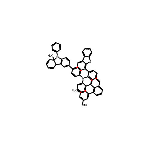 CC(C)(C)c1cc(-c2cccc3cccc(-c4ccccc4N(c4ccc(-c5ccc6c(c5)C5C=CC=CC5(C)N6c5ccccc5)cc4)c4ccccc4-c4cccc5c4sc4ccccc45)c23)cc(C(C)(C)C)c1